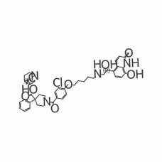 O=C(c1ccc(OCCCCCNC[C@H](O)c2ccc(O)c3[nH]c(=O)ccc23)c(Cl)c1)N1CCC(C(=O)O[C@H]2CN3CCC2CC3)(c2ccccc2)CC1